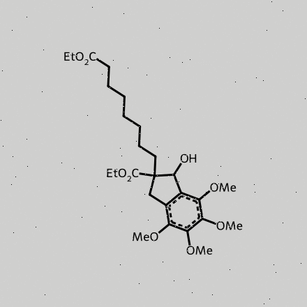 CCOC(=O)CCCCCCCC1(C(=O)OCC)Cc2c(OC)c(OC)c(OC)c(OC)c2C1O